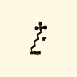 CCCCCCCCCCCCCS(=O)(=O)[O-].[K+]